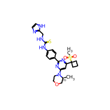 C[C@H]1COCCN1c1cc(C2(S(C)(=O)=O)CCC2)nc(-c2ccc(NC(=S)NCc3ncc[nH]3)cc2)n1